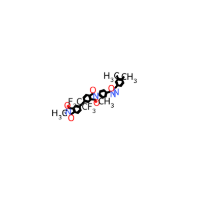 Cc1ccc(-c2nnc(-c3ccc(N4C(=O)c5ccc(C(c6ccc7c(c6)C(=O)N(C)C7=O)(C(F)(F)F)C(F)(F)F)cc5C4=O)c(C)c3)o2)cc1C